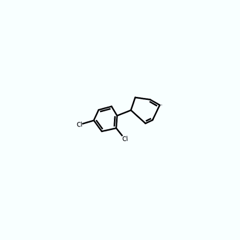 Clc1ccc(C2C=C[C]=CC2)c(Cl)c1